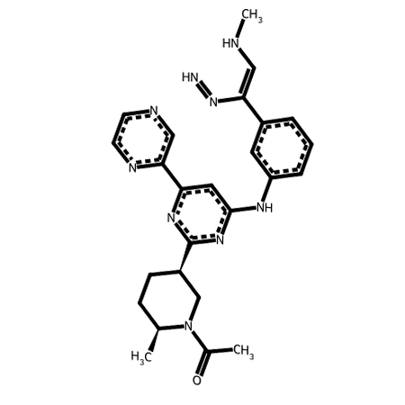 CN/C=C(\N=N)c1cccc(Nc2cc(-c3cnccn3)nc([C@@H]3CC[C@H](C)N(C(C)=O)C3)n2)c1